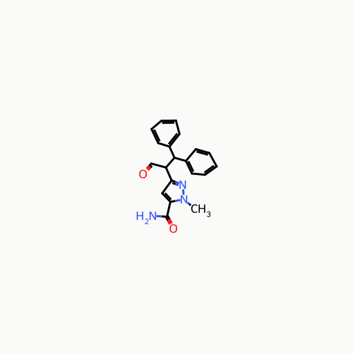 Cn1nc(C(C=O)C(c2ccccc2)c2ccccc2)cc1C(N)=O